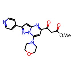 COC(=O)CC(=O)c1cc(N2CCOCC2)n2nc(-c3ccncc3)cc2n1